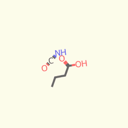 CCCC(=O)O.N=C=O